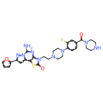 Nc1nc2c(sc(=O)n2CCN2CCN(c3ccc(C(=O)N4CCNCC4)cc3F)CC2)c2cc(-c3ccco3)nn12